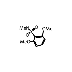 CNS(=O)(=O)c1c(OC)cccc1OC